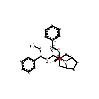 C[C@@H](N[C@@H](CO)c1ccccc1)C1CC2CCC(C1)N2C(=O)OCc1ccccc1